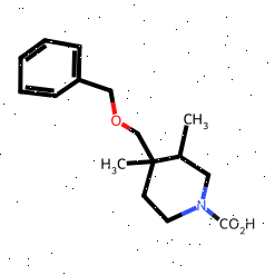 CC1CN(C(=O)O)CCC1(C)COCc1ccccc1